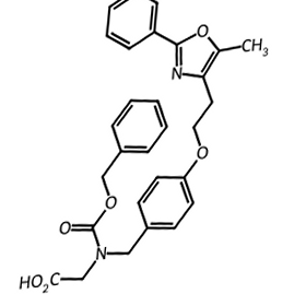 Cc1oc(-c2ccccc2)nc1CCOc1ccc(CN(CC(=O)O)C(=O)OCc2ccccc2)cc1